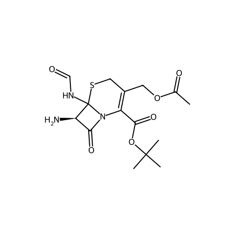 CC(=O)OCC1=C(C(=O)OC(C)(C)C)N2C(=O)[C@@H](N)C2(NC=O)SC1